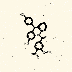 COc1cc(C(=O)Nc2ccccc2C(c2ccc(O)cc2)c2ccc(O)cc2)ccc1[N+](=O)[O-]